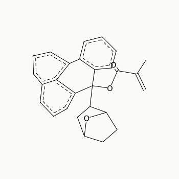 C=C(C)C(=O)OC1(C2CC3CCC2O3)c2ccccc2-c2cccc3cccc1c23